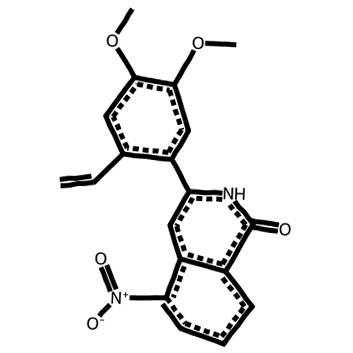 C=Cc1cc(OC)c(OC)cc1-c1cc2c([N+](=O)[O-])cccc2c(=O)[nH]1